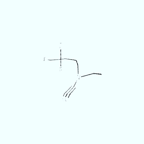 CN(C#N)CC(F)(F)F